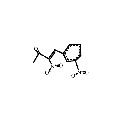 CC(=O)/C(=C/c1cccc([N+](=O)[O-])c1)[N+](=O)[O-]